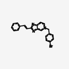 Brc1ccc(Cn2ccc3nc(/C=C/c4ccccc4)nc-3c2)cc1